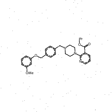 COc1cccc(OCc2ccc(CN3CCN(c4ncccc4C(=O)OC(C)C)CC3)cc2)c1